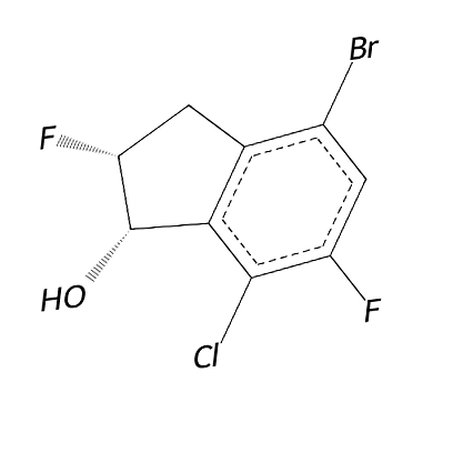 O[C@H]1c2c(Cl)c(F)cc(Br)c2C[C@H]1F